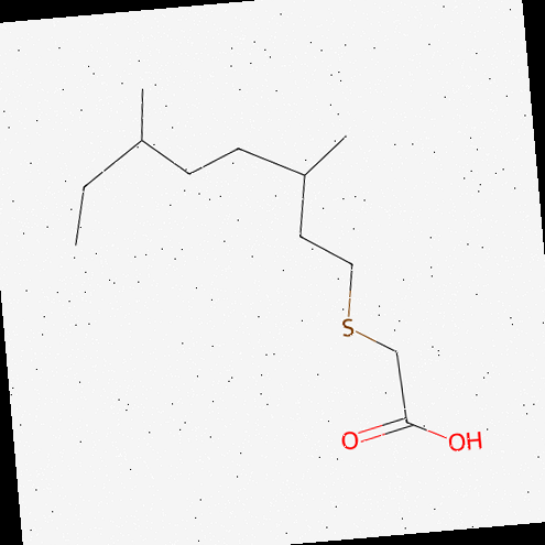 CCC(C)CCC(C)CCSCC(=O)O